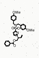 C=CC(COC(=O)c1ccccc1)n1ccc(S(=O)(=O)N(Cc2ccc(OC)cc2)Cc2ccc(OC)cc2)n1